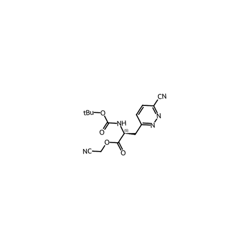 CC(C)(C)OC(=O)N[C@@H](Cc1ccc(C#N)nn1)C(=O)OCC#N